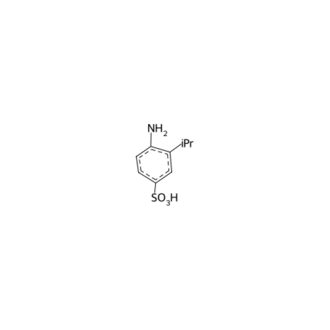 CC(C)c1cc(S(=O)(=O)O)ccc1N